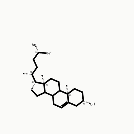 CC(=O)[C@@H](CC[C@@H](C)[C@H]1CCC2C3CC=C4C[C@@H](O)CC[C@]4(C)C3CC[C@@]21C)C(C)C